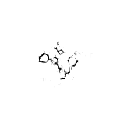 CCCCNC(=O)C1(Oc2cc(C(=O)NC(CCC(=O)O)C(=O)N3CCN(C(=O)OCC)CC3)nn2-c2ccccc2)CCC1